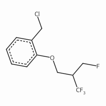 FCC(COc1ccccc1CCl)C(F)(F)F